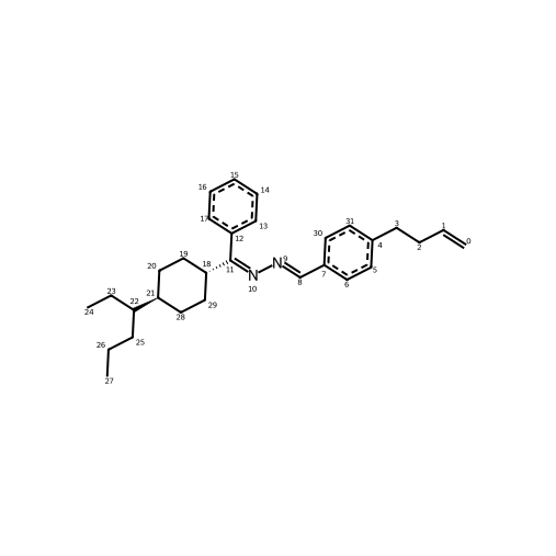 C=CCCc1ccc(C=NN=C(c2ccccc2)[C@H]2CC[C@H](C(CC)CCC)CC2)cc1